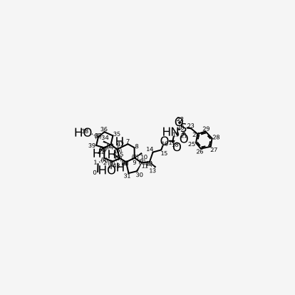 CC[C@H]1[C@@H](O)[C@@H]2[C@H](CC[C@]3(C)[C@@H]([C@H](C)CCOC(=O)NS(=O)(=O)Cc4ccccc4)CC[C@@H]23)[C@@]2(C)CC[C@@H](O)C[C@@H]12